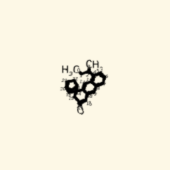 CCC(C)c1cccc2cc3c(cc12)C1(CC(=O)C3)CC2=CCC1C2